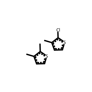 Cc1ccsc1C.Cc1ccsc1Cl